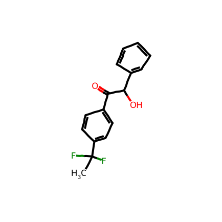 CC(F)(F)c1ccc(C(=O)C(O)c2ccccc2)cc1